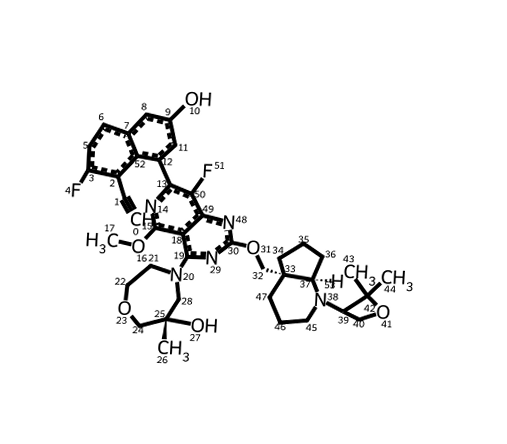 C#Cc1c(F)ccc2cc(O)cc(-c3nc(OC)c4c(N5CCOC[C@@](C)(O)C5)nc(OC[C@]56CCC[C@H]5N(C5COC5(C)C)CCC6)nc4c3F)c12